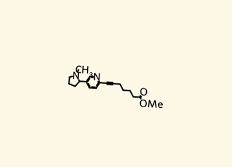 COC(=O)CCCCC#Cc1ccc(C2CCCN2C)cn1